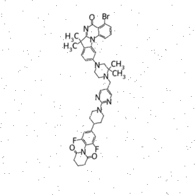 CC1(C)c2ccc(N3CCN(Cc4cnc(N5CCC(c6cc(F)c(N7C(=O)CCCC7=O)c(F)c6)CC5)nc4)C(C)(C)C3)cc2-n2c1nc(=O)c1c(Br)cccc12